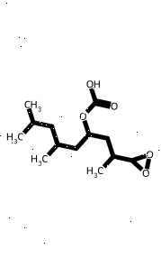 CC(C)CC(C)CC(CC(C)C1OO1)OC(=O)O